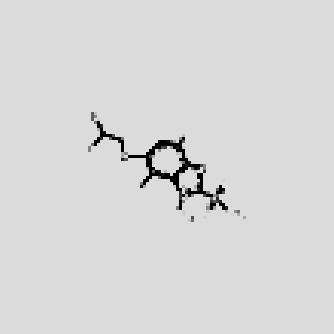 Cn1c(S(C)(=O)=O)nc2c(F)cc(OCC(F)F)c(F)c21